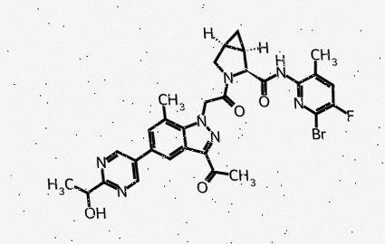 CC(=O)c1nn(CC(=O)N2C[C@H]3C[C@H]3[C@H]2C(=O)Nc2nc(Br)c(F)cc2C)c2c(C)cc(-c3cnc(C(C)O)nc3)cc12